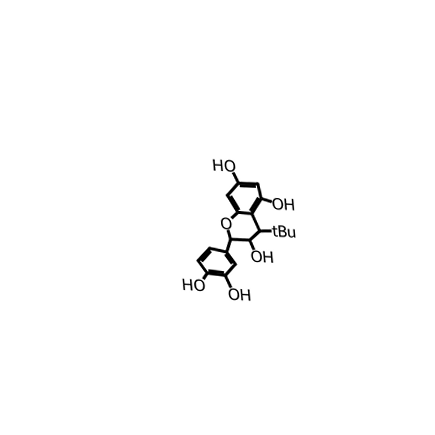 CC(C)(C)C1c2c(O)cc(O)cc2OC(c2ccc(O)c(O)c2)C1O